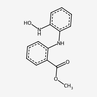 COC(=O)c1ccccc1Nc1ccccc1NO